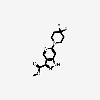 COC(=O)c1n[nH]c2cc(N3CCC(F)(F)CC3)ncc12